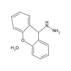 NNC1c2ccccc2Oc2ccccc21.O